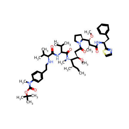 CC[C@H](C)[C@@H]([C@@H](CC(=O)N1CCC[C@H]1[C@H](OC)[C@@H](C)C(=O)N[C@@H](Cc1ccccc1)c1nccs1)OC)N(C)C(=O)[C@@H](NC(=O)[C@@H](NCCc1ccc(N(C)C(=O)OC(C)(C)C)cc1)C(C)C)C(C)C